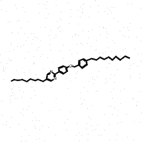 CCCCCCCCCCc1ccc(COc2ccc(-c3ncc(CCCCCCCCC)cn3)cc2)cc1